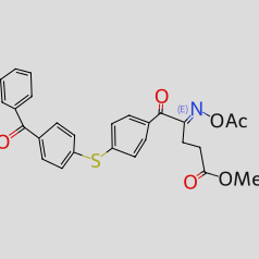 COC(=O)CC/C(=N\OC(C)=O)C(=O)c1ccc(Sc2ccc(C(=O)c3ccccc3)cc2)cc1